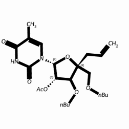 C=CC[C@]1(COCCCC)O[C@@H](n2cc(C)c(=O)[nH]c2=O)[C@@H](OC(C)=O)C1OCCCC